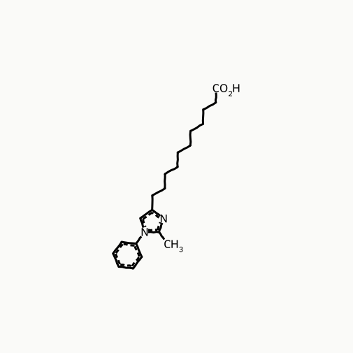 Cc1nc(CCCCCCCCCCC(=O)O)cn1-c1ccccc1